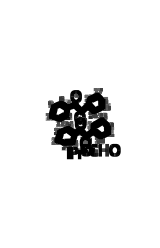 CC(C)OC=O.O=C(C(=O)c1ccccc1)c1ccccc1.O=C(C(=O)c1ccccc1)c1ccccc1